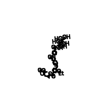 CCOc1cc(C(=O)OC2CC2Cc2oc(=O)oc2C)ccc1CN1CCC2(CC1)CC(=O)N(c1ccc(C(=O)NC[C@H](O)[C@@H](O)[C@H](O)[C@H](O)CO)cc1)C2